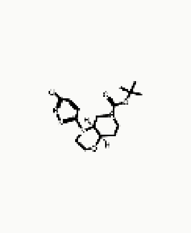 CC(C)(C)OC(=O)N1CC[C@H]2OCCN(c3ccc(Cl)nn3)[C@H]2C1